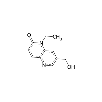 CCn1c(=O)ccc2ncc(CO)cc21